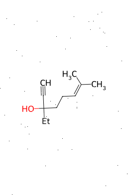 C#CC(O)(CC)CCC=C(C)C